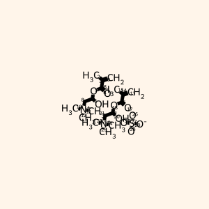 C=C(C)C(=O)OC(O)C[N+](C)(C)C.C=C(C)C(=O)OC(O)C[N+](C)(C)C.O=S(=O)([O-])[O-]